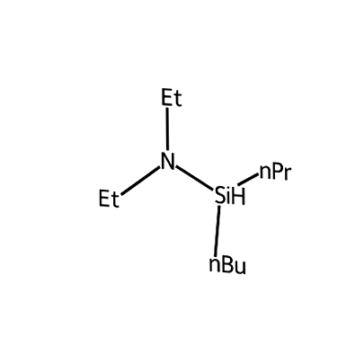 CCCC[SiH](CCC)N(CC)CC